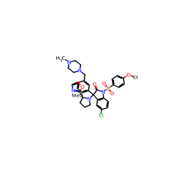 CCOc1ccc(S(=O)(=O)N2C(=O)C(c3cc(CN4CCN(C)CC4)ccc3OC)(N3CCCC3c3ncco3)c3cc(Cl)ccc32)cc1